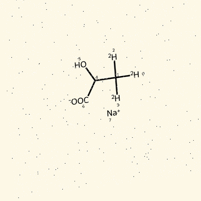 [2H]C([2H])([2H])C(O)C(=O)[O-].[Na+]